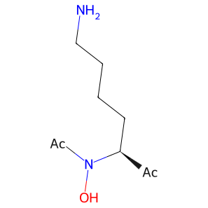 CC(=O)[C@H](CCCCN)N(O)C(C)=O